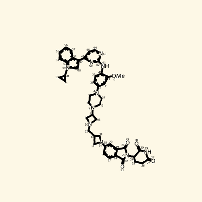 COc1cc(N2CCN(C3CN(CC4CN(c5ccc6c(c5)C(=O)N(C5CCC(=O)NC5=O)C6=O)C4)C3)CC2)ccc1Nc1nccc(-c2cn(C3CC3)c3ccccc23)n1